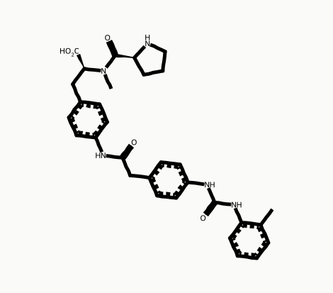 Cc1ccccc1NC(=O)Nc1ccc(CC(=O)Nc2ccc(C[C@@H](C(=O)O)N(C)C(=O)[C@@H]3CCCN3)cc2)cc1